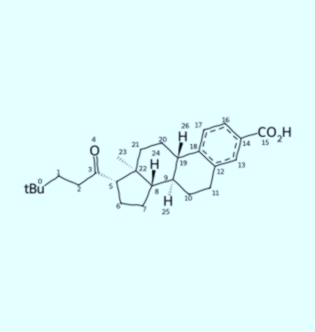 CC(C)(C)CCC(=O)[C@H]1CC[C@H]2[C@@H]3CCc4cc(C(=O)O)ccc4[C@H]3CC[C@]12C